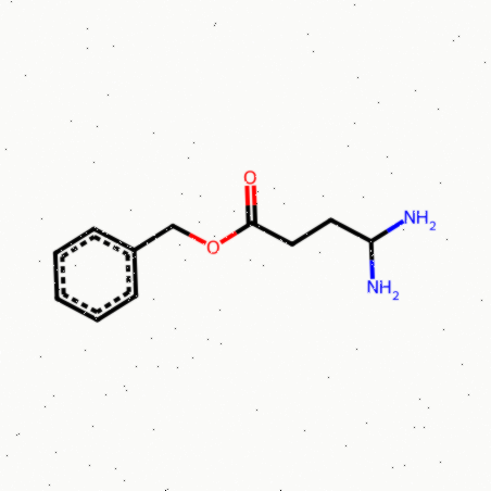 NC(N)CCC(=O)OCc1ccccc1